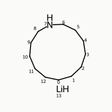 C1CCCCCCNCCCCC1.[LiH]